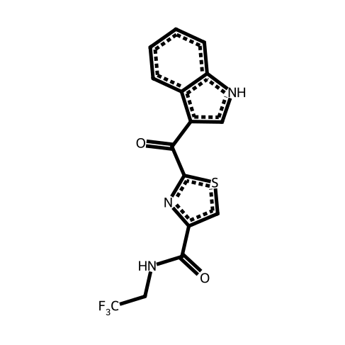 O=C(NCC(F)(F)F)c1csc(C(=O)c2c[nH]c3ccccc23)n1